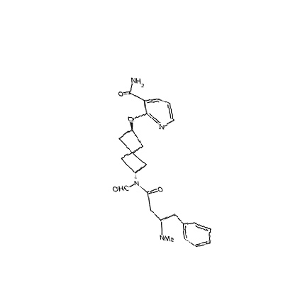 CNC(CC(=O)N(C=O)[C@H]1CC2(C[C@H](Oc3ncccc3C(N)=O)C2)C1)Cc1ccccc1